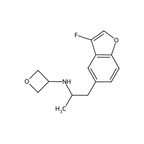 CC(Cc1ccc2occ(F)c2c1)NC1COC1